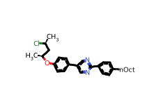 CCCCCCCCc1ccc(-c2ncc(-c3ccc(O[C@@H](C)C[C@H](C)Cl)cc3)cn2)cc1